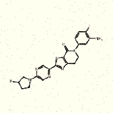 Nc1cc(N2CCc3nc(-c4cnc(N5CCC(F)C5)cn4)sc3C2=O)ccc1F